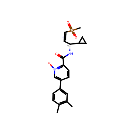 Cc1ccc(-c2ccc(C(=O)N[C@H](/C=C\S(C)(=O)=O)C3CC3)[n+]([O-])c2)cc1C